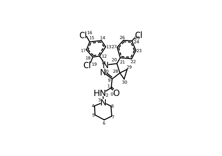 O=C(NN1CCCCC1)C1=NN(c2ccc(Cl)cc2Cl)C(c2ccc(Cl)cc2)C12CC2